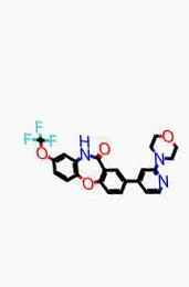 O=C1Nc2cc(OC(F)(F)F)ccc2Oc2ccc(-c3ccnc(N4CCOCC4)c3)cc21